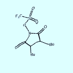 CC(C)(C)C1C(=O)N(OS(=O)(=O)C(F)(F)F)C(=O)C1C(C)(C)C